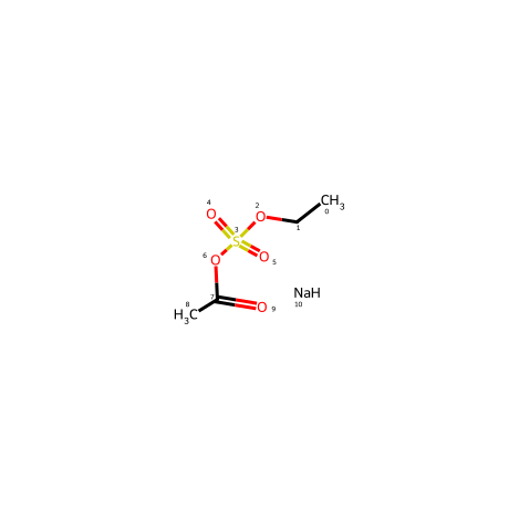 CCOS(=O)(=O)OC(C)=O.[NaH]